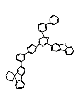 c1ccc(-c2cccc(-c3nc(-c4ccc(-c5cccc(-c6ccc7c(c6)C6(CCCCC6)c6ccccc6-7)c5)cc4)nc(-c4ccc5c(c4)oc4ccccc45)n3)c2)cc1